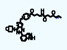 C/C=C/C(=O)CCC(=O)NCCCC(=O)N1CCN(Cc2cc3nc(-c4cccc5[nH]ncc45)nc(N4CCOCC4)c3s2)CC1